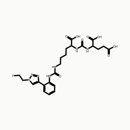 O=C(O)CCC(NC(=O)NC(CCCCNC(=O)Nc1ccccc1-c1cn(CCF)nn1)C(=O)O)C(=O)O